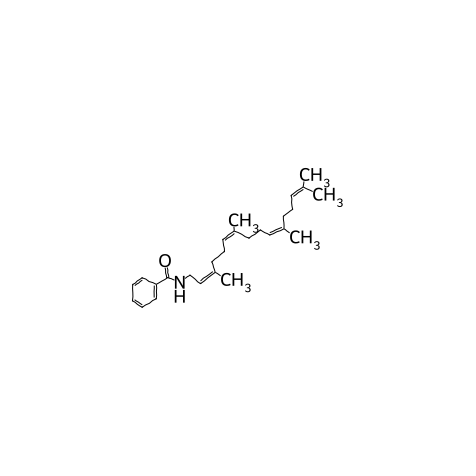 CC(C)=CCCC(C)=CCCC(C)=CCCC(C)=CCNC(=O)c1ccccc1